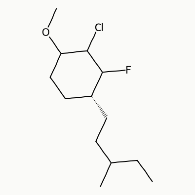 CCC(C)CC[C@@H]1CCC(OC)C(Cl)C1F